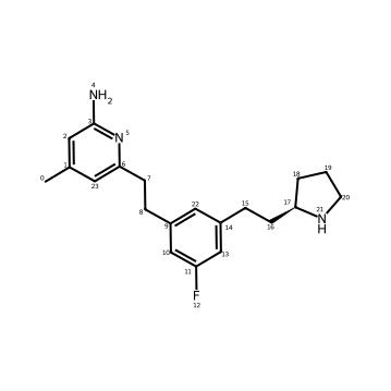 Cc1cc(N)nc(CCc2cc(F)cc(CC[C@H]3CCCN3)c2)c1